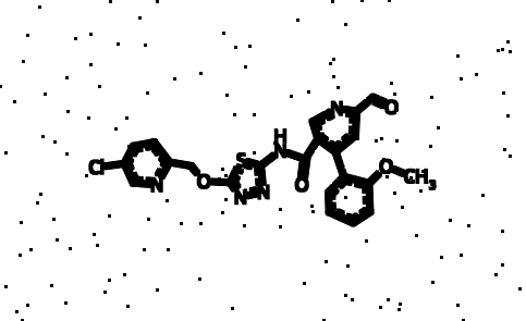 COc1ccccc1-c1cc(C=O)ncc1C(=O)Nc1nnc(OCc2ccc(Cl)cn2)s1